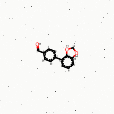 O=Cc1ccc(-c2cccc3c2OCO3)cc1